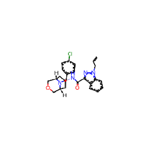 C=CCn1nc(C(=O)N[C@H]2C[C@H]3COC[C@@H](C2)N3Cc2ccc(Cl)cc2)c2ccccc21